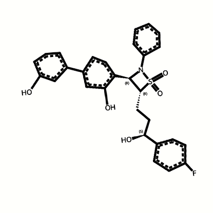 O=S1(=O)[C@H](CC[C@H](O)c2ccc(F)cc2)[C@@H](c2ccc(-c3cccc(O)c3)cc2O)N1c1ccccc1